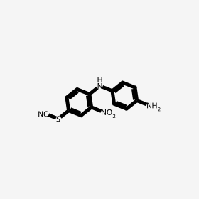 N#CSc1ccc(Nc2ccc(N)cc2)c([N+](=O)[O-])c1